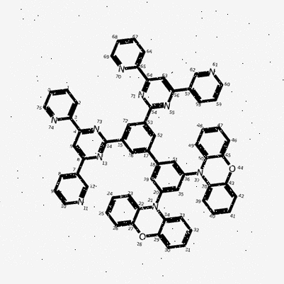 c1ccc(-c2cc(-c3cccnc3)nc(-c3cc(-c4cc(N5c6ccccc6Oc6ccccc65)cc(N5c6ccccc6Oc6ccccc65)c4)cc(-c4nc(-c5cccnc5)cc(-c5ccccn5)n4)c3)n2)nc1